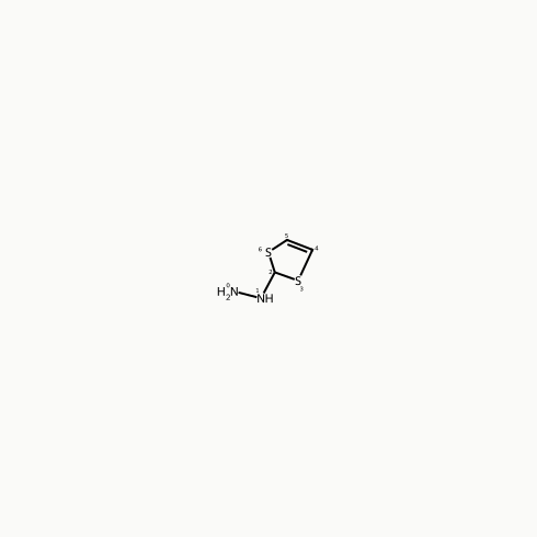 NNC1SC=CS1